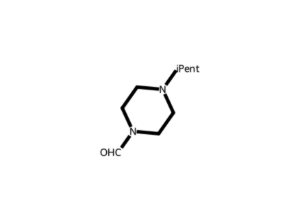 CCCC(C)N1CCN(C=O)CC1